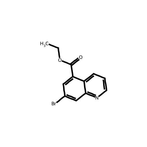 CCOC(=O)c1cc(Br)cc2ncccc12